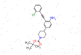 CC(C)(C)OC(=O)N1CCC(c2ccc(N)c(C#Cc3ccccc3Cl)c2)CC1